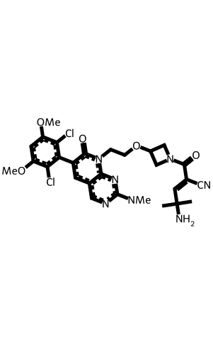 CNc1ncc2cc(-c3c(Cl)c(OC)cc(OC)c3Cl)c(=O)n(CCOC3CN(C(=O)C(C#N)=CC(C)(C)N)C3)c2n1